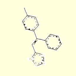 Cc1ccc(/C(=C/c2nnn[nH]2)c2ccccc2)cc1